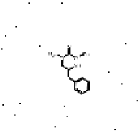 CN(CC(N)Cc1ccccc1)C(=O)OC(C)(C)C